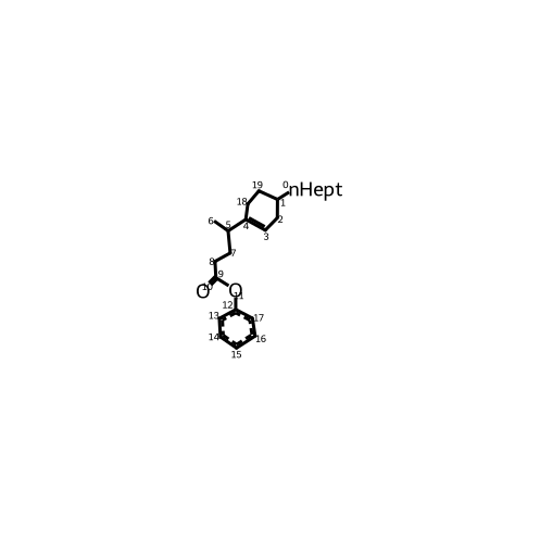 CCCCCCCC1CC=C(C(C)CCC(=O)Oc2ccccc2)CC1